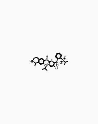 CC(C)Oc1cc2c(cc1Nc1ncc(Cl)c(Nc3ccccc3S(=O)(=O)C(C)C)n1)CCNC2C